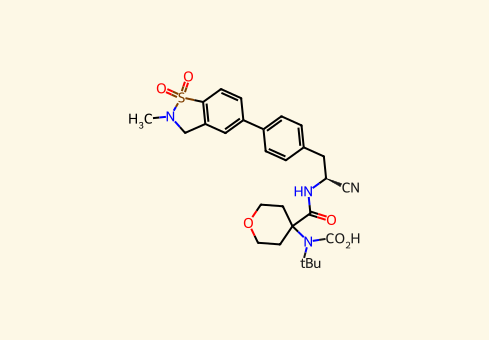 CN1Cc2cc(-c3ccc(C[C@@H](C#N)NC(=O)C4(N(C(=O)O)C(C)(C)C)CCOCC4)cc3)ccc2S1(=O)=O